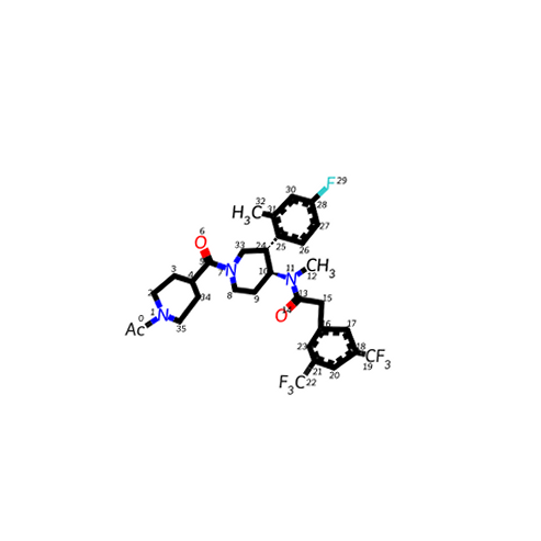 CC(=O)N1CCC(C(=O)N2CC[C@H](N(C)C(=O)Cc3cc(C(F)(F)F)cc(C(F)(F)F)c3)[C@@H](c3ccc(F)cc3C)C2)CC1